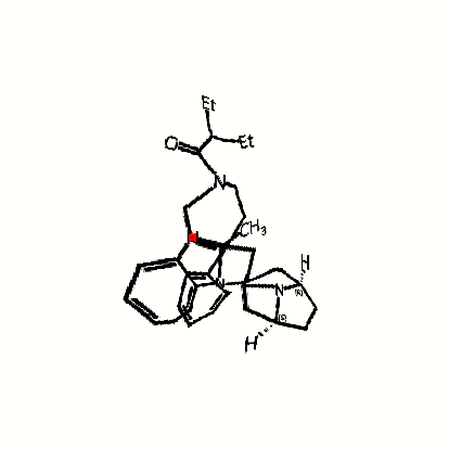 CCC(CC)C(=O)N1CCC(CCN2[C@@H]3CC[C@H]2CC(n2c(C)nc4ccccc42)C3)(c2ccccc2)CC1